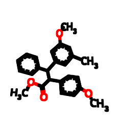 COC(=O)C(c1ccc(OC)cc1)C(c1ccccc1)c1cc(C)cc(OC)c1